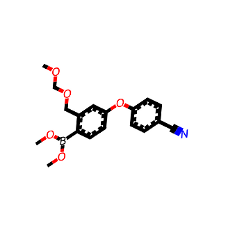 COCOCc1cc(Oc2ccc(C#N)cc2)ccc1B(OC)OC